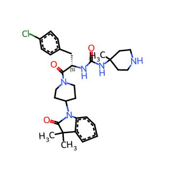 CC1(NC(=O)N[C@@H](Cc2ccc(Cl)cc2)C(=O)N2CCC(N3C(=O)C(C)(C)c4ccccc43)CC2)CCNCC1